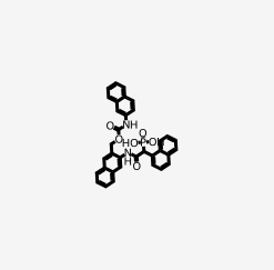 O=C(Nc1ccc2ccccc2c1)OCc1cc2ccccc2cc1NC(=O)C(c1cccc2ccccc12)P(=O)(O)O